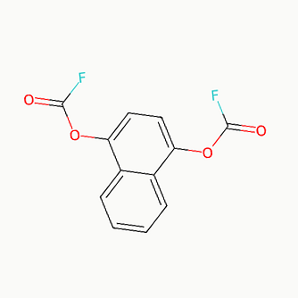 O=C(F)Oc1ccc(OC(=O)F)c2ccccc12